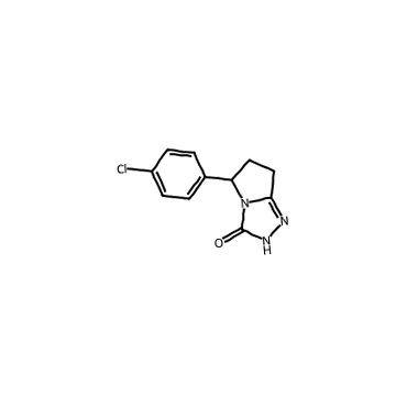 O=c1[nH]nc2n1C(c1ccc(Cl)cc1)CC2